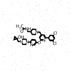 CC(=O)NCC1CCN(Cc2cc(Oc3ccc(N4CCN(CC5(O)CC5)CC4)nc3)nc(C3C=C(Cl)C=C(Cl)C3)c2)CC1